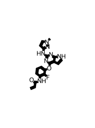 C=CC(=O)Nc1cccc(Oc2nc(Nc3ccn(C)n3)nc3[nH]ccc23)c1F